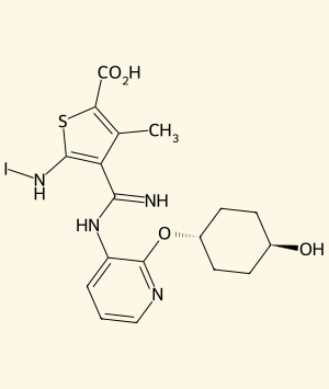 Cc1c(C(=O)O)sc(NI)c1C(=N)Nc1cccnc1O[C@H]1CC[C@H](O)CC1